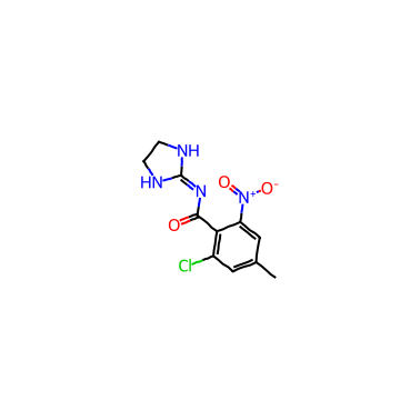 Cc1cc(Cl)c(C(=O)N=C2NCCN2)c([N+](=O)[O-])c1